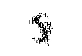 CCOc1cc(-c2ncc(NC(=O)Nc3ccc(CN(C)C)c(C(F)(F)F)c3)c(C)n2)c[nH]c1=O